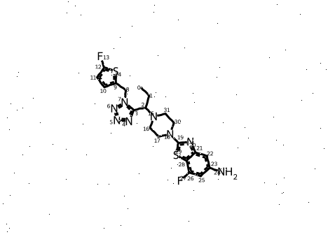 CCC(c1nnnn1Cc1ccc(F)s1)N1CCN(c2nc3cc(N)cc(F)c3s2)CC1